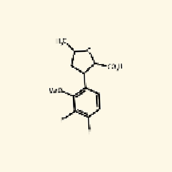 COc1c(C2CC(C)OC2C(=O)O)ccc(F)c1F